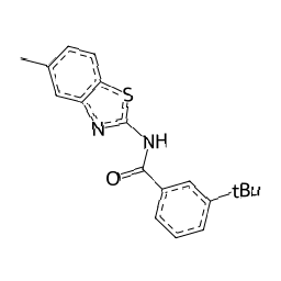 Cc1ccc2sc(NC(=O)c3cccc(C(C)(C)C)c3)nc2c1